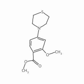 COC(=O)c1ccc(N2CCSCC2)cc1OC